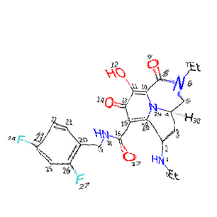 CCNC1C[C@@H]2CN(CC)C(=O)c3c(O)c(=O)c(C(=O)NCc4ccc(F)cc4F)c1n32